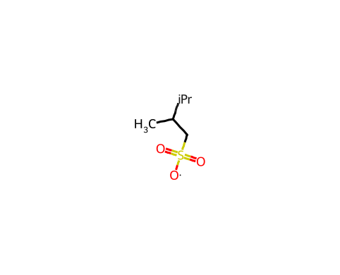 CC(C)C(C)CS([O])(=O)=O